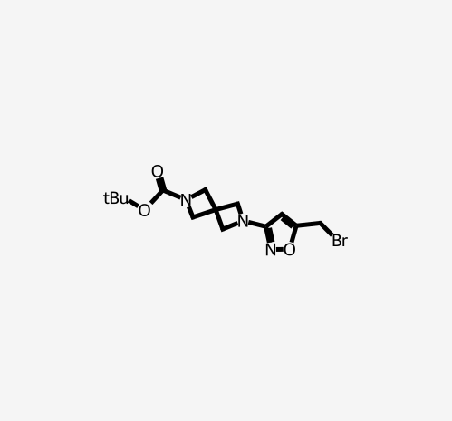 CC(C)(C)OC(=O)N1CC2(C1)CN(c1cc(CBr)on1)C2